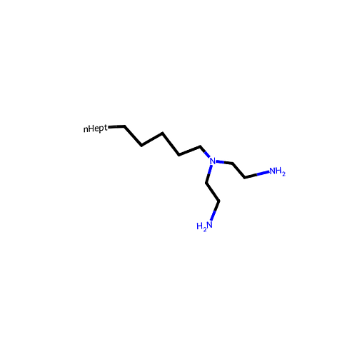 CCCCCCCCCCCCN(CCN)CCN